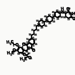 CCOc1cc([C@@H](CS(C)(=O)=O)N2C(=O)c3ccc(CCCCCN4CCC(N5CCC(c6ccc(NC7CCC(=O)NC7=O)cc6)CC5)CC4)cc3C2=O)ccc1OC